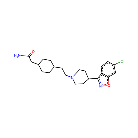 NC(=O)CC1CCC(CCN2CCC(c3noc4cc(Cl)ccc34)CC2)CC1